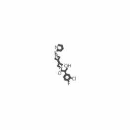 O=C(C(CO)c1ccc(F)c(Cl)c1)N1CC(=C2CN(Sc3ccccn3)C2)C1